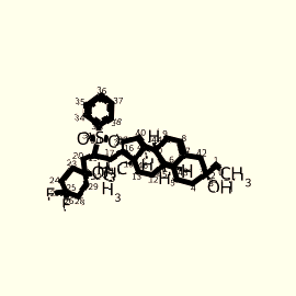 CC[C@]1(O)CC[C@H]2C(=CC[C@@H]3[C@@H]2CC[C@]2(C)[C@@H]([C@H](C)C(CC4(O)CCC(F)(F)CC4)S(=O)(=O)c4ccccc4)CC[C@@H]32)C1